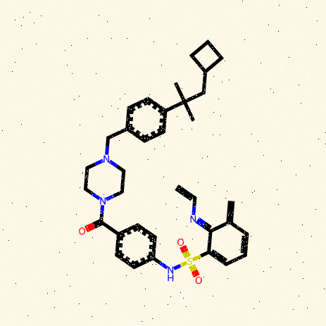 C=C/N=C1\C(=C)C=CC=C1S(=O)(=O)Nc1ccc(C(=O)N2CCN(Cc3ccc(C(C)(C)CC4CCC4)cc3)CC2)cc1